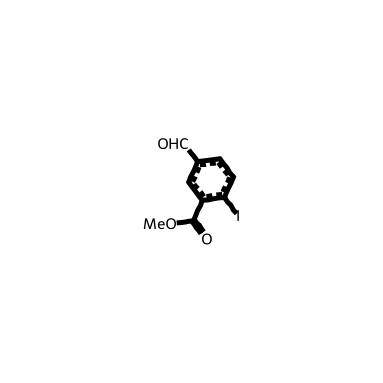 COC(=O)c1cc(C=O)ccc1I